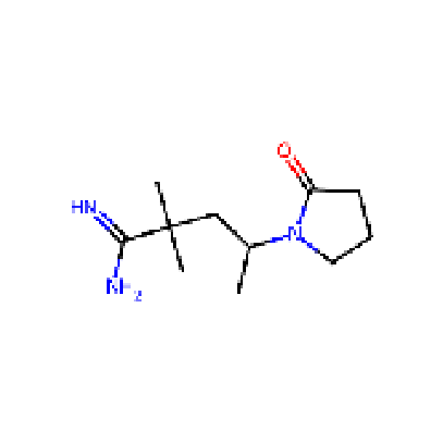 CC(CC(C)(C)C(=N)N)N1CCCC1=O